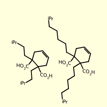 CC(C)CCC1(C(=O)O)CC=CCC1(CCC(C)C)C(=O)O.CC(C)CCCCCC1(C(=O)O)CC=CCC1(CCCCCC(C)C)C(=O)O